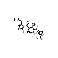 CCc1n[nH]c(O)c1C(=O)c1ccc(S(C)(=O)=O)c(OC2COC2)c1C